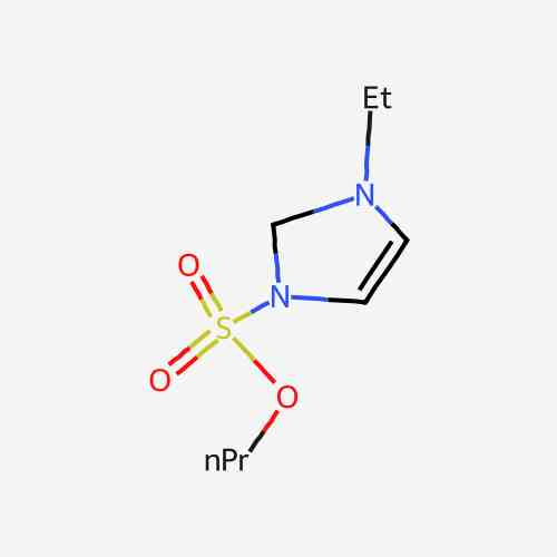 CCCOS(=O)(=O)N1C=CN(CC)C1